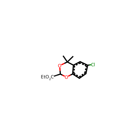 CCOC(=O)C1Oc2ccc(Cl)cc2C(C)(C)O1